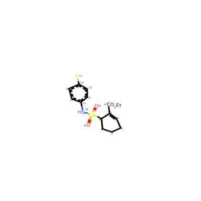 CCOC(=O)C1=CCCCC1S(=O)(=O)Nc1ccc(F)cc1